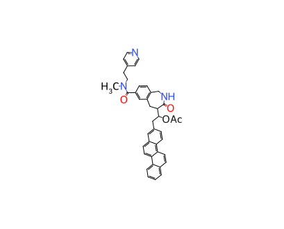 CC(=O)OC(Cc1ccc2c(ccc3c4ccccc4ccc23)c1)C1Cc2cc(C(=O)N(C)CCc3ccncc3)ccc2CNC1=O